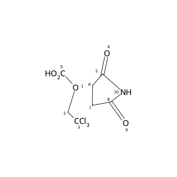 O=C(O)OCC(Cl)(Cl)Cl.O=C1CCC(=O)N1